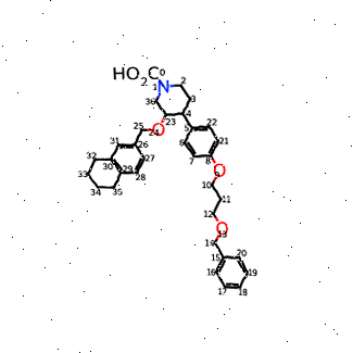 O=C(O)N1CCC(c2ccc(OCCCOCc3ccccc3)cc2)C(OCc2ccc3c(c2)CCCC3)C1